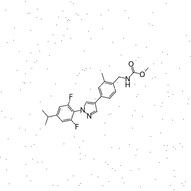 COC(=O)NCc1ccc(-c2cnn(-c3c(F)cc(C(C)C)cc3F)c2)cc1C